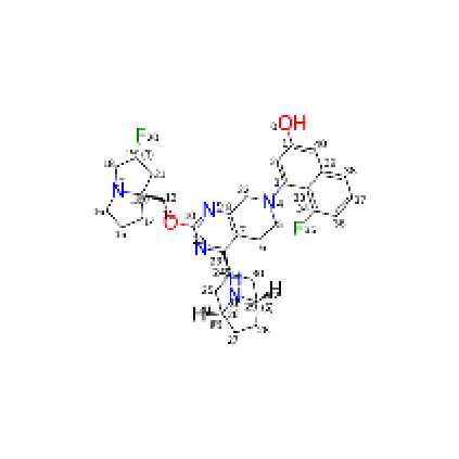 Oc1cc(N2CCc3c(nc(OC[C@@]45CCCN4C[C@H](F)C5)nc3[C@@H]3C[C@H]4CC[C@@H](C3)N4)C2)c2c(F)cccc2c1